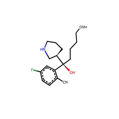 COCCCC[C@](O)(c1cc(F)ccc1C#N)[C@@H]1CCCNC1